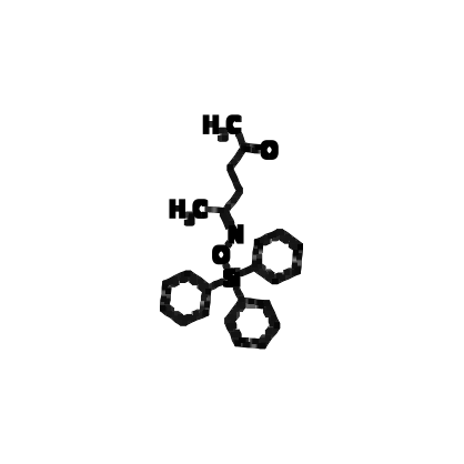 CC(=O)CC/C(C)=N/O[Si](c1ccccc1)(c1ccccc1)c1ccccc1